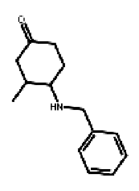 CC1CC(=O)CCC1NCc1ccccc1